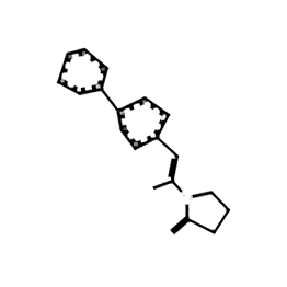 O=C1CCCN1C(F)=Cc1ccc(-c2ccccc2)cc1